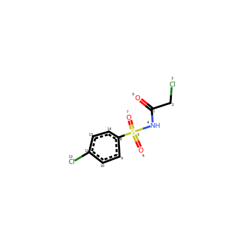 O=C(CCl)NS(=O)(=O)c1ccc(Cl)cc1